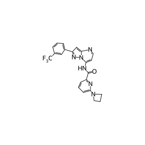 O=C(Nc1ccnc2cc(-c3cccc(C(F)(F)F)c3)nn12)c1cccc(N2CCC2)n1